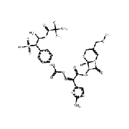 CC(OC(=O)C(C)(C)C)C(c1ccccc1)S(=O)(=O)O.COCC1=CN2C(=O)C(NC(=O)/C(=N\OC(=O)O)c3csc(N)n3)[C@@H]2SC1